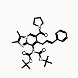 Cc1nc2c(N(C(=O)OC(C)(C)C)C(=O)OC(C)(C)C)c(C/C=C/c3ccccc3)c(C(=O)N3CCCC3)cn2c1C